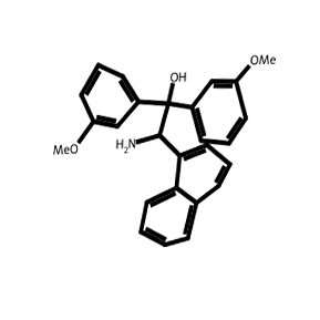 COc1cccc(C(O)(c2cccc(OC)c2)C(N)c2cccc3ccccc23)c1